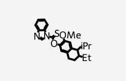 CCC1CCc2cc(OC(=S)n3cnc4ccccc43)c(OC)cc2C1C(C)C